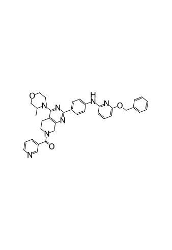 CC1COCCN1c1nc(-c2ccc(Nc3cccc(OCc4ccccc4)n3)cc2)nc2c1CCN(C(=O)c1cccnc1)C2